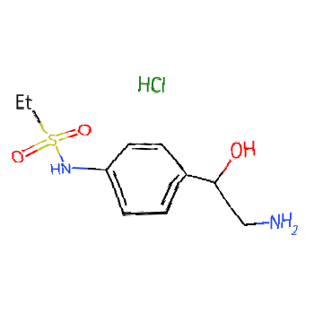 CCS(=O)(=O)Nc1ccc(C(O)CN)cc1.Cl